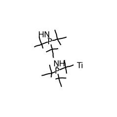 CC(C)(C)P(=N)(C(C)(C)C)C(C)(C)C.CC(C)(C)P(=N)(C(C)(C)C)C(C)(C)C.[Ti]